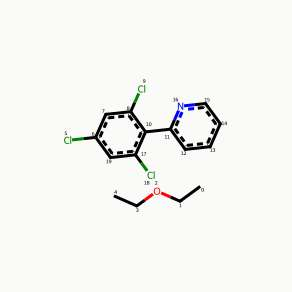 CCOCC.Clc1cc(Cl)c(-c2ccccn2)c(Cl)c1